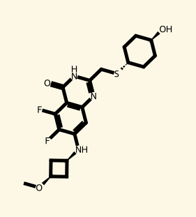 CO[C@H]1C[C@@H](Nc2cc3nc(CS[C@H]4CC[C@H](O)CC4)[nH]c(=O)c3c(F)c2F)C1